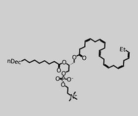 CC/C=C\C/C=C\C/C=C\C/C=C\C/C=C\C/C=C\CCC(=O)OC[C@H](COP(=O)([O-])OCC[N+](C)(C)C)OC(=O)CCCCCCCCCCCCCCCCC